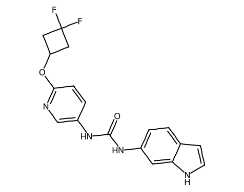 O=C(Nc1ccc(OC2CC(F)(F)C2)nc1)Nc1ccc2cc[nH]c2c1